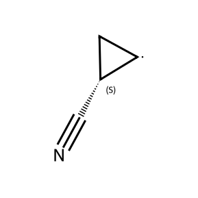 N#C[C@H]1[CH]C1